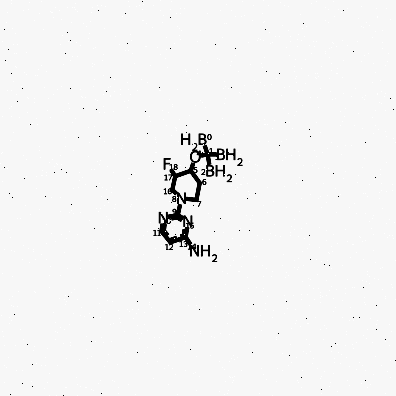 BC(B)(B)OC1CCN(c2nccc(N)n2)CC1F